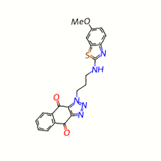 COc1ccc2nc(NCCCn3nnc4c3C(=O)c3ccccc3C4=O)sc2c1